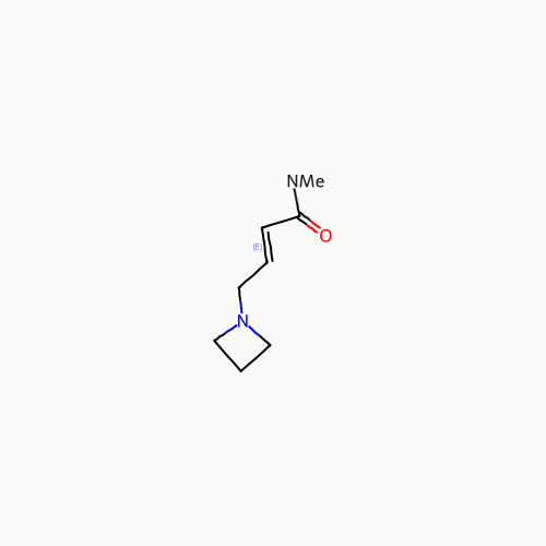 CNC(=O)/C=C/CN1CCC1